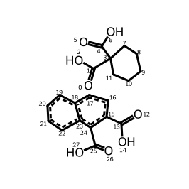 O=C(O)C1(C(=O)O)CCCCC1.O=C(O)c1ccc2ccccc2c1C(=O)O